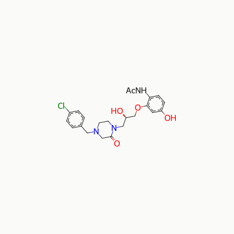 CC(=O)Nc1ccc(O)cc1OC[C@H](O)CN1CCN(Cc2ccc(Cl)cc2)CC1=O